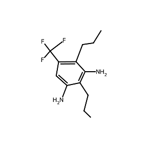 CCCc1c(N)cc(C(F)(F)F)c(CCC)c1N